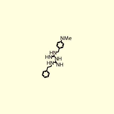 CNc1ccc(CNC(=N)NC(=N)NCCc2ccccc2)cc1